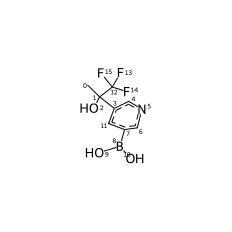 CC(O)(c1cncc(B(O)O)c1)C(F)(F)F